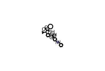 O=c1oc2c(c(O)c1C(c1cccc(NS(=O)(=O)c3ccc(/N=N/c4ccccc4)cc3)c1)C1CC1)CCCCCC2